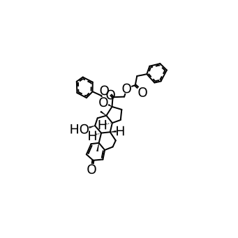 C[C@]12C=CC(=O)C=C1CC[C@@H]1[C@@H]2[C@@H](O)C[C@@]2(C)[C@H]1CC[C@@]2(OC(=O)c1ccccc1)C(=O)COC(=O)Cc1ccccc1